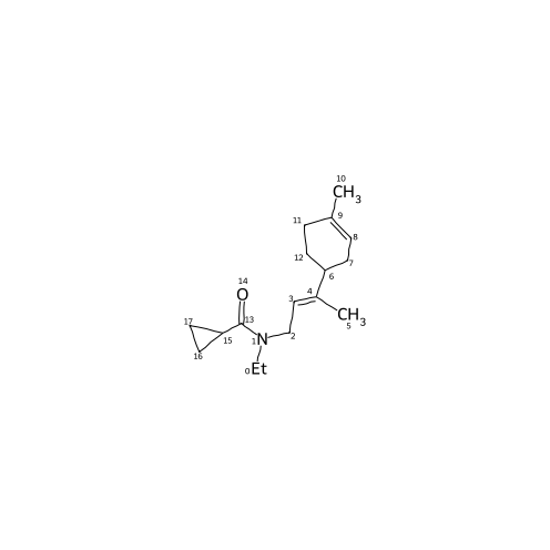 CCN(C/C=C(\C)C1CC=C(C)CC1)C(=O)C1CC1